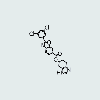 O=C(OC1CCc2nc[nH]c2C1)c1ccc2nc(-c3cc(Cl)cc(Cl)c3)oc2c1